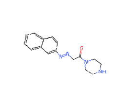 O=C(C/N=N/c1ccc2ccccc2c1)N1CCNCC1